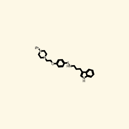 CC(C)N1CCN(CCOc2ccc(SNCCCc3c[nH]c4ccccc34)cc2)CC1